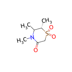 CC1[C@H](C)S(=O)(=O)CC(=O)N1C